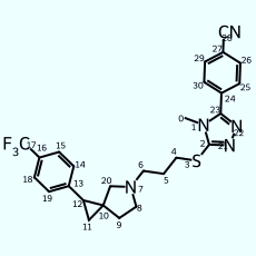 Cn1c(SCCCN2CCC3(CC3c3ccc(C(F)(F)F)cc3)C2)nnc1-c1ccc(C#N)cc1